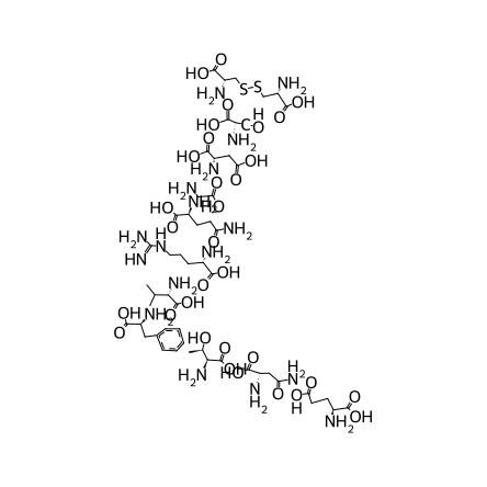 CC(C)[C@H](N)C(=O)O.C[C@@H](O)[C@H](N)C(=O)O.N=C(N)NCCC[C@H](N)C(=O)O.NC(=O)CC[C@H](N)C(=O)O.NC(=O)C[C@H](N)C(=O)O.NCC(=O)O.N[C@@H](CC(=O)O)C(=O)O.N[C@@H](CCC(=O)O)C(=O)O.N[C@@H](CO)C(=O)O.N[C@@H](CSSC[C@H](N)C(=O)O)C(=O)O.N[C@@H](Cc1ccccc1)C(=O)O